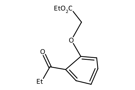 CCOC(=O)COc1ccccc1C(=O)CC